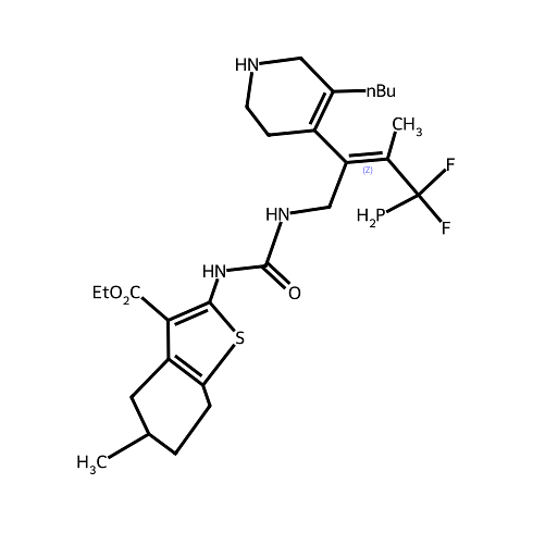 CCCCC1=C(/C(CNC(=O)Nc2sc3c(c2C(=O)OCC)CC(C)CC3)=C(\C)C(F)(F)P)CCNC1